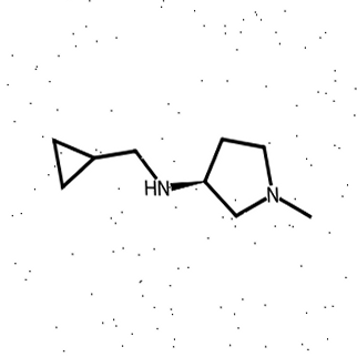 CN1CC[C@H](NCC2CC2)C1